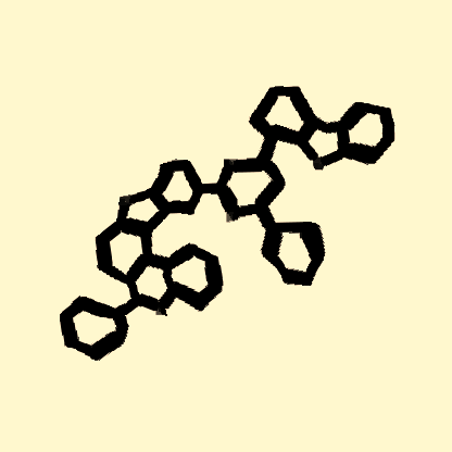 c1ccc(-c2cc(-c3cccc4c3oc3ccccc34)nc(-c3ccc4oc5ccc6c(-c7ccccc7)nc7ccccc7c6c5c4c3)n2)cc1